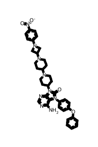 Nc1ncnc2c1n(-c1ccc(Oc3ccccc3)cc1)c(=O)n2C1CCN(C2CCN(C3CN(c4ccc([N+](=O)[O-])cc4)C3)CC2)CC1